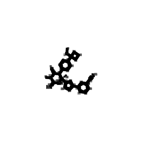 COC1(c2ccc(C3C(=O)N(C)C(=N)N[C@]3(C)c3cc(-c4cccc(C#N)c4)cs3)cc2)CCC1